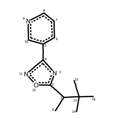 CC(c1nc(-c2cccnc2)no1)C(C)(C)C